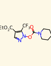 CCOC(=O)c1cnn(OC(=O)N2CCCCC2)c1C(F)(F)F